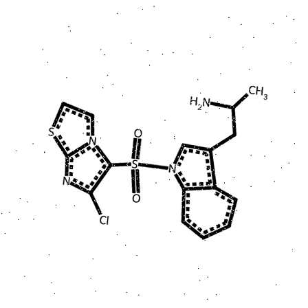 CC(N)Cc1cn(S(=O)(=O)c2c(Cl)nc3sccn23)c2ccccc12